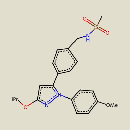 COc1ccc(-n2nc(OC(C)C)cc2-c2ccc(CNS(C)(=O)=O)cc2)cc1